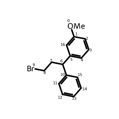 COc1cccc(C(CCBr)c2ccccc2)c1